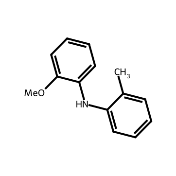 COc1ccccc1Nc1ccccc1C